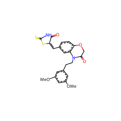 COc1cc(CCN2C(=O)COc3ccc(C=C4SC(=S)NC4=O)cc32)cc(OC)c1